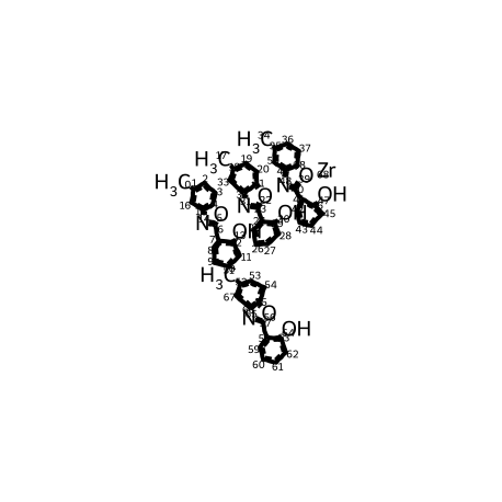 Cc1ccc2oc(-c3ccccc3O)nc2c1.Cc1ccc2oc(-c3ccccc3O)nc2c1.Cc1ccc2oc(-c3ccccc3O)nc2c1.Cc1ccc2oc(-c3ccccc3O)nc2c1.[Zr]